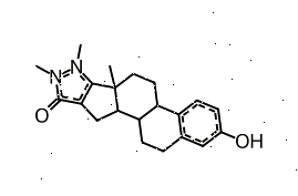 Cn1c2c(c(=O)n1C)CC1C3CCc4cc(O)ccc4C3CCC21C